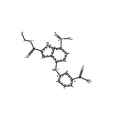 CCOC(=O)c1cc2c(Nc3cccc(C(N)=O)c3)ccc([N+](=O)[O-])c2[nH]1